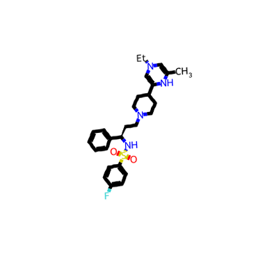 CCN1C=C(C)NC(C2CCN(CC[C@@H](NS(=O)(=O)c3ccc(F)cc3)c3ccccc3)CC2)=C1